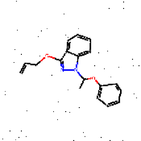 C=CCOc1nn(C(C)Oc2ccccc2)c2ccccc12